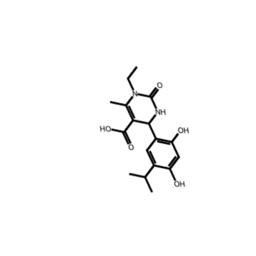 CCN1C(=O)NC(c2cc(C(C)C)c(O)cc2O)C(C(=O)O)=C1C